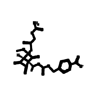 CO[N+]1(SC(=O)COC(N)=O)C(=O)[C@@]2(C(C)OC(=O)OCc3ccc([N+](=O)[O-])cc3)C(=O)C(=O)[C@H]21